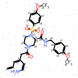 C=C/C=C(\C=C/N)CC(=O)N1CCN(S(=O)(=O)c2ccc(OC(F)(F)F)cc2)[C@@H](C(=O)NCc2ccc(OC(F)(F)F)cc2)C1